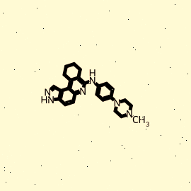 CN1CCN(c2ccc(Nc3nc4ccc5[nH]ncc5c4c4c3CCCC4)cc2)CC1